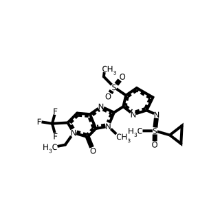 CCn1c(C(F)(F)F)cc2nc(-c3nc(N=S(C)(=O)C4CC4)ccc3S(=O)(=O)CC)n(C)c2c1=O